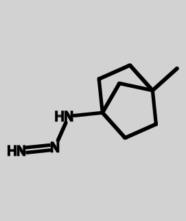 CC12CCC(NN=N)(CC1)C2